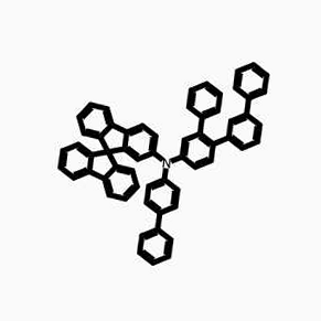 c1ccc(-c2ccc(N(c3ccc(-c4cccc(-c5ccccc5)c4)c(-c4ccccc4)c3)c3ccc4c(c3)C3(c5ccccc5-c5ccccc53)c3ccccc3-4)cc2)cc1